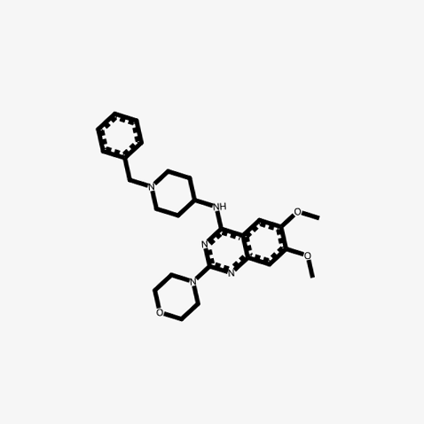 COc1cc2nc(N3CCOCC3)nc(NC3CCN(Cc4ccccc4)CC3)c2cc1OC